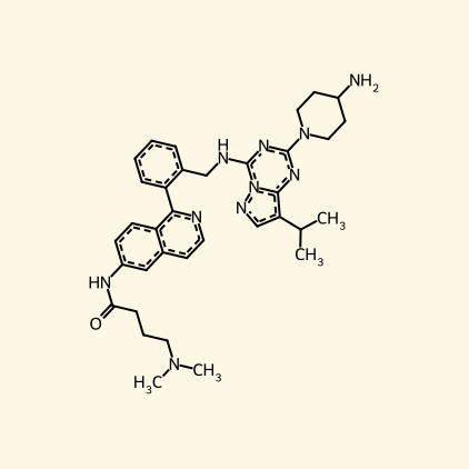 CC(C)c1cnn2c(NCc3ccccc3-c3nccc4cc(NC(=O)CCCN(C)C)ccc34)nc(N3CCC(N)CC3)nc12